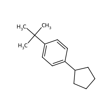 CC(C)(C)c1ccc(C2CCCC2)cc1